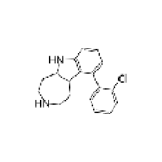 Clc1ccccc1-c1cccc2c1C1CCNCCC1N2